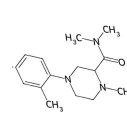 Cc1c[c]ccc1N1CCN(C)C(C(=O)N(C)C)C1